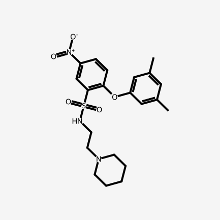 Cc1cc(C)cc(Oc2ccc([N+](=O)[O-])cc2S(=O)(=O)NCCN2CCCCC2)c1